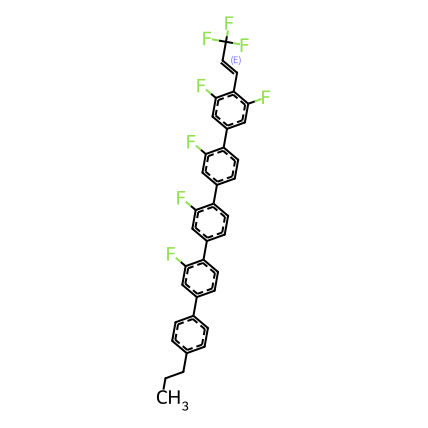 CCCc1ccc(-c2ccc(-c3ccc(-c4ccc(-c5cc(F)c(/C=C/C(F)(F)F)c(F)c5)c(F)c4)c(F)c3)c(F)c2)cc1